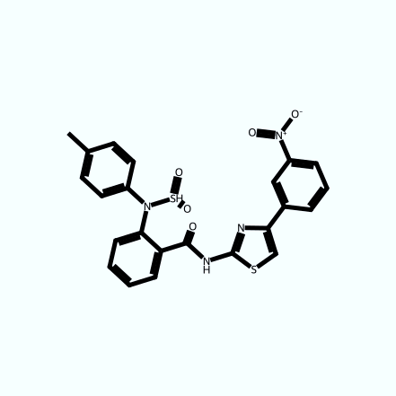 Cc1ccc(N(c2ccccc2C(=O)Nc2nc(-c3cccc([N+](=O)[O-])c3)cs2)[SH](=O)=O)cc1